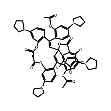 CC(=O)Oc1cc(N2CCCC2)ccc1C(=CC1(C=C(c2ccc(N3CCCC3)cc2OC(C)=O)c2ccc(N3CCCC3)cc2OC(C)=O)OC(=O)c2c(Cl)c(Cl)c(Cl)c(Cl)c21)c1ccc(N2CCCC2)cc1OC(C)=O